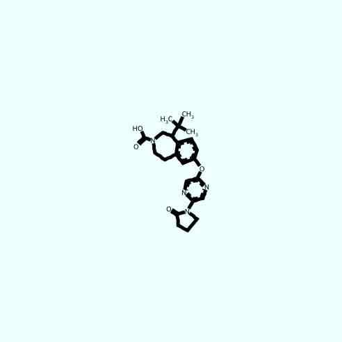 CC(C)(C)C1CN(C(=O)O)CCc2cc(Oc3cnc(N4CCCC4=O)cn3)ccc21